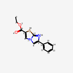 CCOC(=O)c1cn2cc(-c3ccccc3)nc2s1